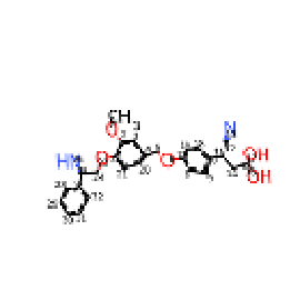 COc1cc(COc2ccc(C(C#N)CC(O)O)cc2)ccc1OCC(=N)c1ccccc1